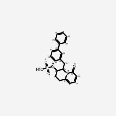 CS(=O)(=O)NC1CCc2cccc(=O)n2C1Cc1cccc(-c2ccccc2)c1